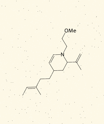 C=C(C)C1CC(CC/C(C)=C/C)C=CN1CCOC